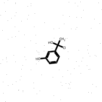 [CH2]C(O)(Cl)c1cccc(O)c1